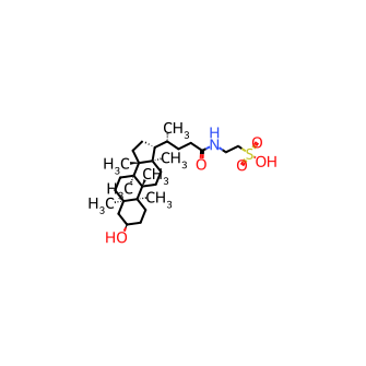 C[C@H](CCC(=O)NCCS(=O)(=O)O)[C@H]1CC[C@@]2(C)[C@]3(C)CC[C@]4(C)C[C@H](O)CC[C@]4(C)[C@@]3(C)CC[C@]12C